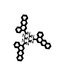 c1ccc2cc3c(cc(C4=NC5=NC(c6cc7cc8ccccc8cc7c7ccccc67)=NC6=NC(c7cc8cc9ccccc9cc8c8ccccc78)=NC(=N4)N56)c4ccccc43)cc2c1